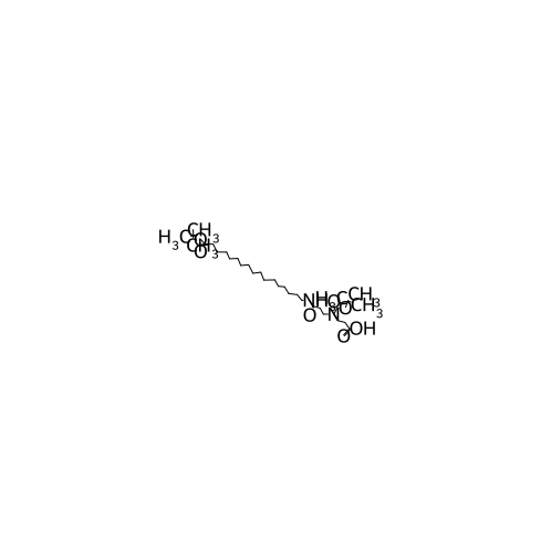 CC(C)(C)OC(=O)CCCCCCCCCCCCCCCCNC(=O)CCN(CCC(=O)O)C(=O)OC(C)(C)C